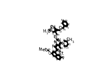 CCc1c(F)ccc2cc(OCOC)cc(-c3ncc4c(N5CCC[C@@H](C)C5)nc(OCC5(CN(C)C)CC5COCc5ccccc5)nc4c3F)c12